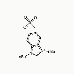 CCCCn1c[n+](CCCC)c2ccccc21.CS(=O)(=O)[O-]